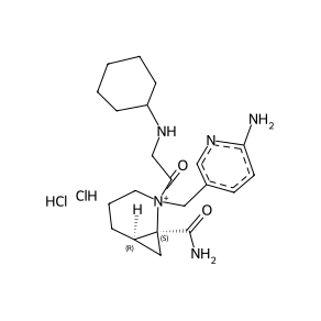 Cl.Cl.NC(=O)[C@]12C[C@H]1CCC[N+]2(Cc1ccc(N)nc1)C(=O)CNC1CCCCC1